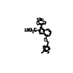 CCOC(=O)c1cc2c(OCc3csc(C)n3)cccc2n1C(=O)OC(C)(C)C